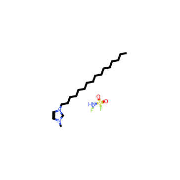 CCCCCCCCCCCCCCCCN1C=CN(C)C1.O=S(=O)(F)NF